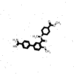 COC(=O)C1CCC(N(C)C(=O)c2cc(-c3ccc(C(=N)N)cc3)ccc2OC)CC1